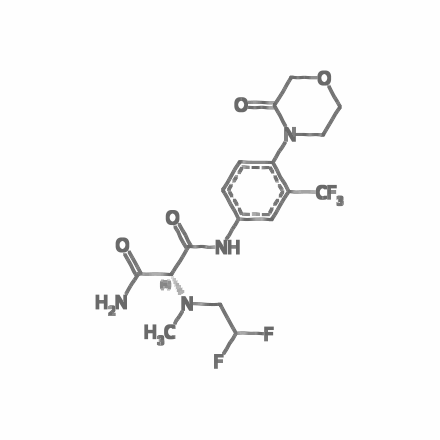 CN(CC(F)F)[C@H](C(N)=O)C(=O)Nc1ccc(N2CCOCC2=O)c(C(F)(F)F)c1